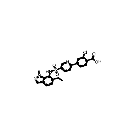 CCc1ccc2cnn(C)c2c1NS(=O)(=O)c1ccc(-c2ccc(C(=O)O)c(Cl)c2)nc1